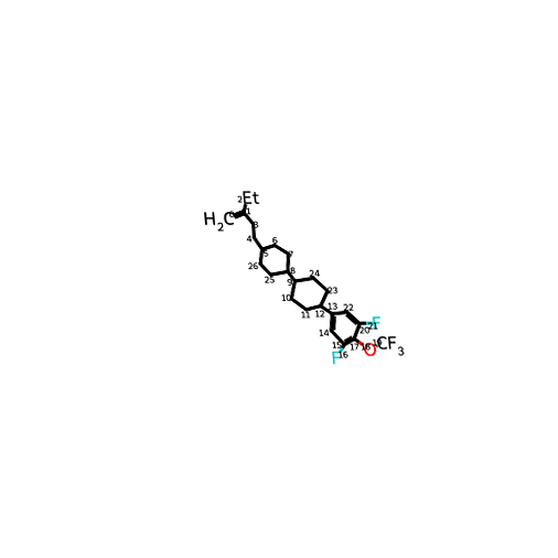 C=C(CC)CCC1CCC(C2CCC(c3cc(F)c(OC(F)(F)F)c(F)c3)CC2)CC1